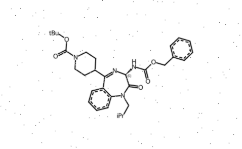 CC(C)CN1C(=O)[C@H](NC(=O)OCc2ccccc2)N=C(C2CCN(C(=O)OC(C)(C)C)CC2)c2ccccc21